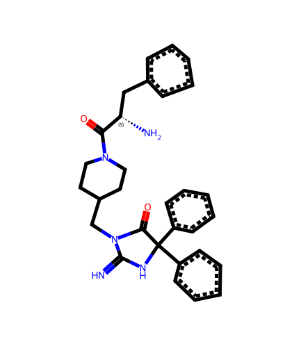 N=C1NC(c2ccccc2)(c2ccccc2)C(=O)N1CC1CCN(C(=O)[C@@H](N)Cc2ccccc2)CC1